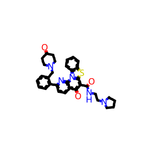 O=C1CCN(Cc2ccccc2-c2ccc3c(=O)c(C(=O)NCCN4CCCC4)c4sc5ccccc5n4c3n2)CC1